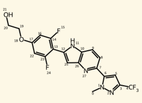 Cn1nc(C(F)(F)F)cc1-c1ccc2[nH]c(-c3c(F)cc(OCCO)cc3F)cc2n1